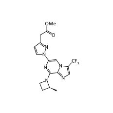 COC(=O)Cc1ccn(-c2cn3c(C(F)(F)F)cnc3c(N3CC[C@@H]3C)n2)n1